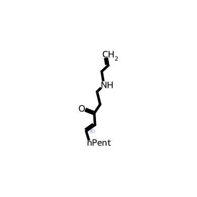 C=CCNCCC(=O)/C=C/CCCCC